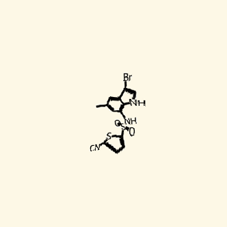 [C-]#[N+]c1ccc(S(=O)(=O)Nc2cc(C)cc3c(Br)c[nH]c23)s1